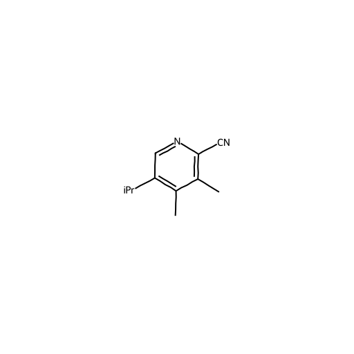 Cc1c(C(C)C)cnc(C#N)c1C